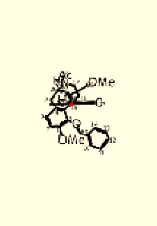 COc1ccc2c(c1OCc1ccccc1)[C@]13CCN(C(C)=O)[C@H](C2)[C@@H]1CC(OC)C(=O)C3